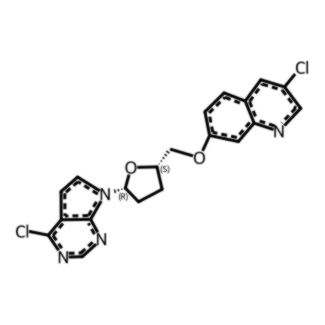 Clc1cnc2cc(OC[C@@H]3CC[C@H](n4ccc5c(Cl)ncnc54)O3)ccc2c1